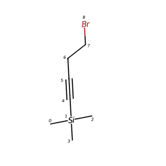 C[Si](C)(C)C#CCCBr